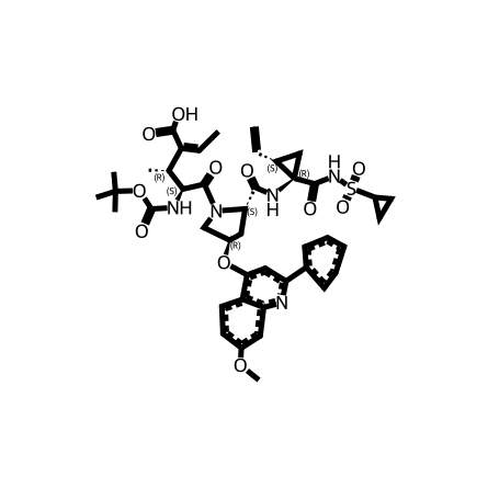 C=C[C@@H]1C[C@]1(NC(=O)[C@@H]1C[C@@H](Oc2cc(-c3ccccc3)nc3cc(OC)ccc23)CN1C(=O)[C@@H](NC(=O)OC(C)(C)C)[C@H](C)C(=CC)C(=O)O)C(=O)NS(=O)(=O)C1CC1